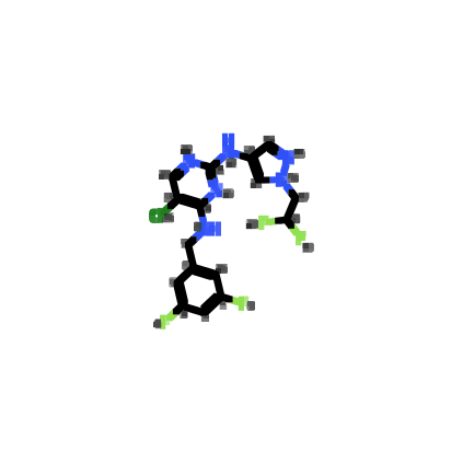 Fc1cc(F)cc(CNc2nc(Nc3cnn(CC(F)F)c3)ncc2Cl)c1